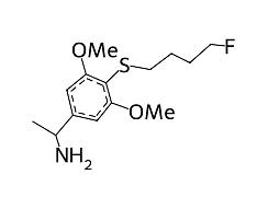 COc1cc(C(C)N)cc(OC)c1SCCCCF